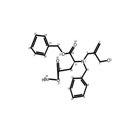 C=C(CCl)CN(Cc1ccccc1)[C@@H](CC(=O)OCCCC)C(=O)OCc1ccccc1